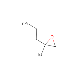 CCCCCC1(CC)CO1